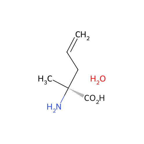 C=CC[C@](C)(N)C(=O)O.O